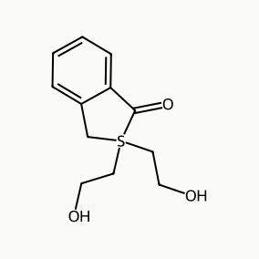 O=C1c2ccccc2CS1(CCO)CCO